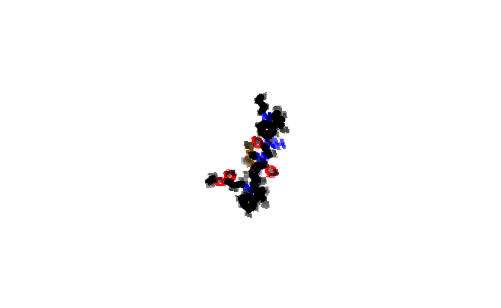 CCCCN1c2ccc(NC(=O)CN3C(=O)/C(=C\C=C4/N(CCC(=O)OCC)c5ccccc5C4(C)C)SC3=S)cc2C(C)(C)C1C